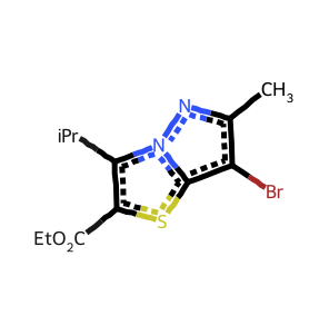 CCOC(=O)c1sc2c(Br)c(C)nn2c1C(C)C